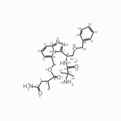 CC(CC(N)=O)C(=O)OCc1cccc2nnc([C@H](NC(=O)C(C)(C)N)[C@@H](C)OCc3ccccc3)n12